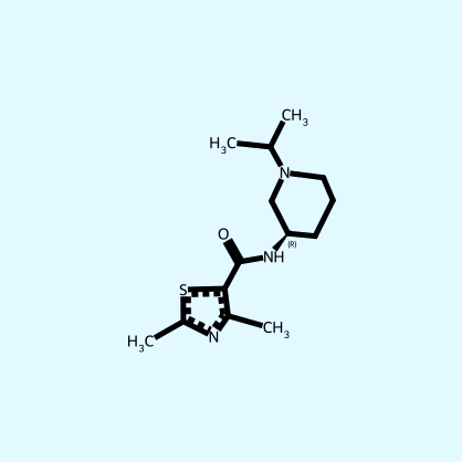 Cc1nc(C)c(C(=O)N[C@@H]2CCCN(C(C)C)C2)s1